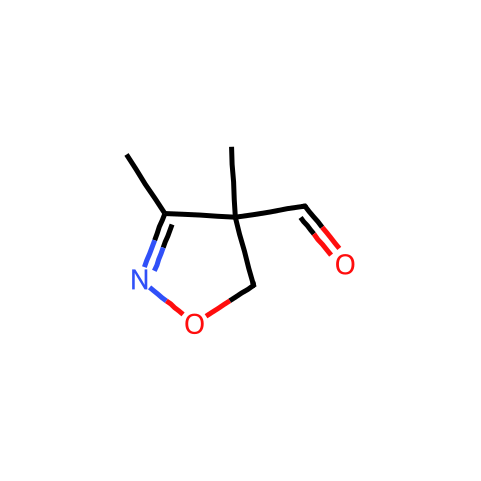 CC1=NOCC1(C)C=O